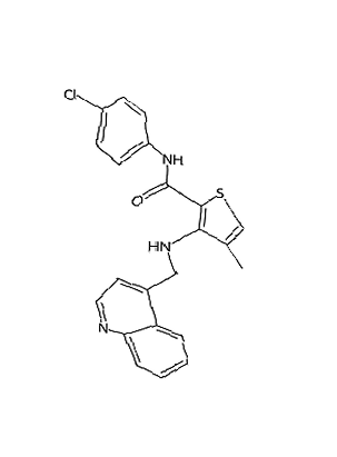 Cc1csc(C(=O)Nc2ccc(Cl)cc2)c1NCc1ccnc2ccccc12